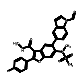 CNC(=O)c1c(-c2ccc(F)cc2)oc2cc(N(C)S(C)(=O)=O)c(-c3ccc4c(ccn4C=O)c3)cc12